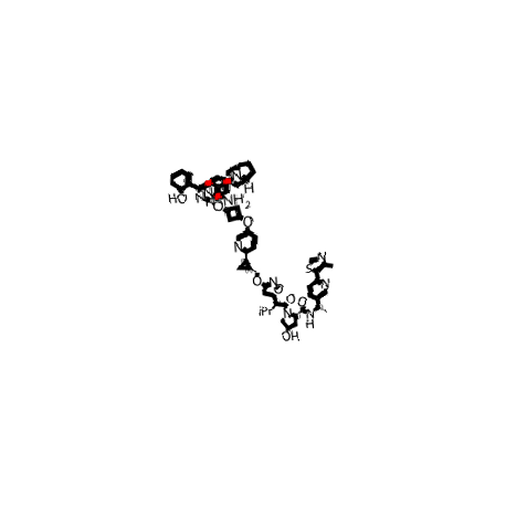 Cc1ncsc1-c1ccc([C@H](C)NC(=O)[C@@H]2C[C@@H](O)CN2C(=O)[C@H](c2cc(OC[C@@H]3C[C@H]3c3ccc(OC4CC(Oc5cc(N6C7CC[C@@H]6CN(c6cc(-c8ccccc8O)nnc6N)C7)ccn5)C4)cn3)no2)C(C)C)cn1